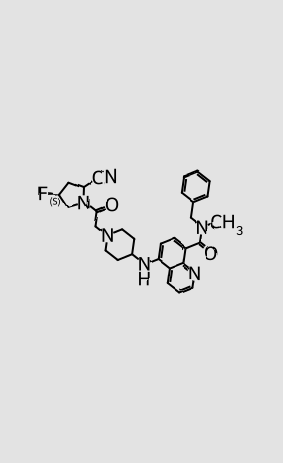 CN(Cc1ccccc1)C(=O)c1ccc(NC2CCN(CC(=O)N3C[C@@H](F)CC3C#N)CC2)c2cccnc12